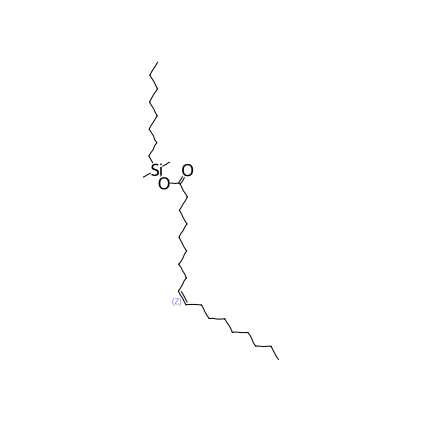 CCCCCCCC/C=C\CCCCCCCC(=O)O[Si](C)(C)CCCCCCCC